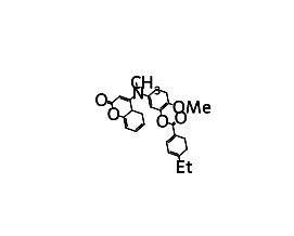 CCC1=CC=C(C(=O)OC2=C(OC)CCC(N(C)C3=CC(=O)OC4=CC=CCC43)=C2)CC1